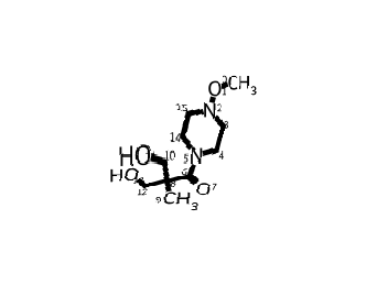 CON1CCN(C(=O)C(C)(CO)CO)CC1